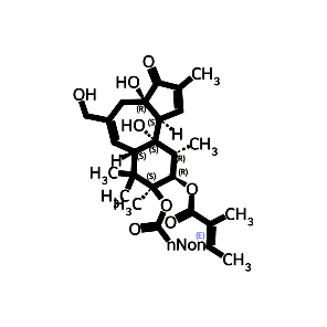 C/C=C(\C)C(=O)O[C@@H]1[C@@H](C)[C@@]2(O)[C@@H](C=C(CO)C[C@]3(O)C(=O)C(C)=C[C@@H]23)C(C)(C)[C@]1(C)OC(=O)CCCCCCCCC